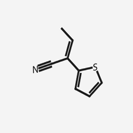 C/C=C(\C#N)c1cccs1